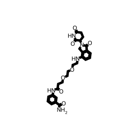 NC(=O)c1cccc(NC(=O)CCOCCOCCNc2cccc3c2CN(C2CCC(=O)NC2=O)C3=O)c1